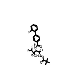 CC(C)(C)C(=O)ONC(=O)[C@@H](NC(=O)c1ccc(-c2ccccc2F)cc1)[C@](C)(O)C(F)F